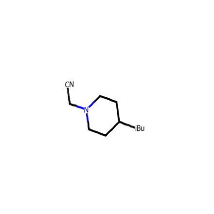 CCC(C)C1CCN(CC#N)CC1